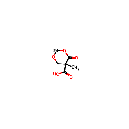 CC1(C(=O)O)COBOC1=O